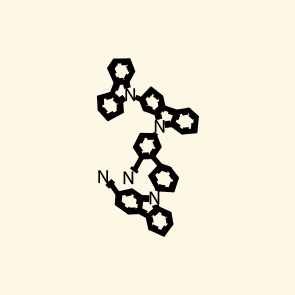 N#Cc1ccc2c3ccccc3n(-c3cccc(-c4cc(-n5c6ccccc6c6ccc(-n7c8ccccc8c8ccccc87)cc65)ccc4C#N)c3)c2c1